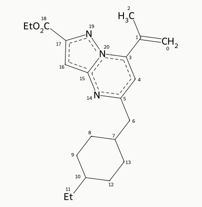 C=C(C)c1cc(CC2CCC(CC)CC2)nc2cc(C(=O)OCC)nn12